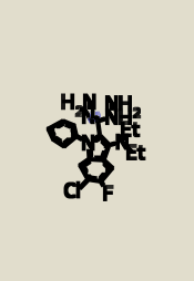 CCN(CC)c1c(/C(=N/N)NN)n(-c2ccccc2)c2cc(Cl)c(F)cc12